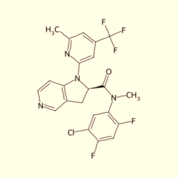 Cc1cc(C(F)(F)F)cc(N2c3ccncc3C[C@@H]2C(=O)N(C)c2cc(Cl)c(F)cc2F)n1